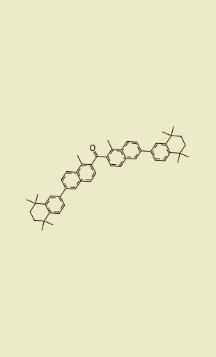 Cc1c(C(=O)c2ccc3cc(-c4ccc5c(c4)C(C)(C)CCC5(C)C)ccc3c2C)ccc2cc(-c3ccc4c(c3)C(C)(C)CCC4(C)C)ccc12